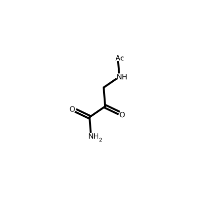 CC(=O)NCC(=O)C(N)=O